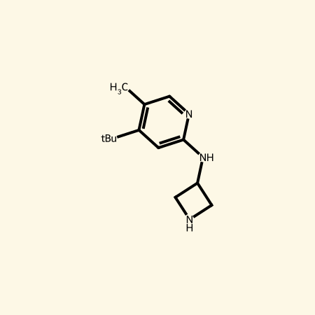 Cc1cnc(NC2CNC2)cc1C(C)(C)C